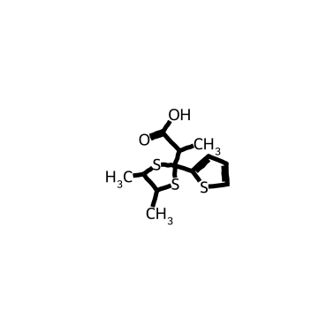 CC1SC(c2cccs2)(C(C)C(=O)O)SC1C